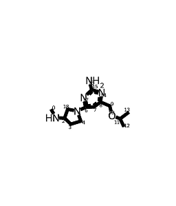 CNC1CCN(c2cc(COC(C)C)nc(N)n2)C1